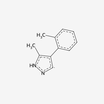 Cc1ccccc1-c1[c]n[nH]c1C